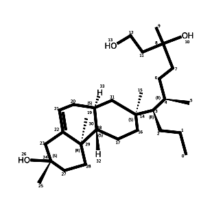 CCC[C@H]([C@H](C)CCC(C)(O)CCO)[C@@]1(C)CC[C@H]2[C@@H](CC=C3C[C@@](C)(O)CC[C@@]32C)C1